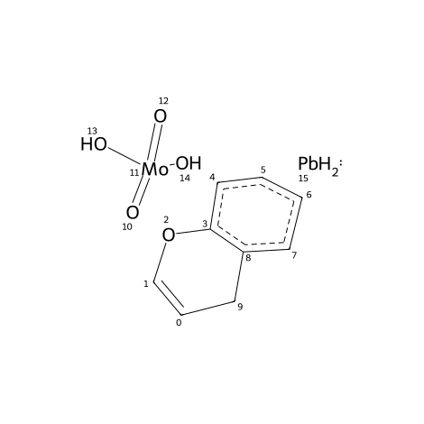 C1=COc2ccccc2C1.[O]=[Mo](=[O])([OH])[OH].[PbH2]